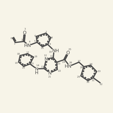 C=CC(=O)Nc1cccc(Nc2nc(Nc3ccccc3)ncc2C(=O)NCc2ccc(C)cc2)c1